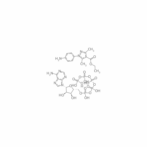 CCOC(=O)c1c(C)nn(-c2ccc(N)cc2)c1C.Nc1ncnc2c1ncn2[C@@H]1O[C@H](COP(=O)(O)OP(=O)(O)OP(=O)(O)OP(=O)(O)OP(=O)(O)O)[C@@H](O)[C@H]1O